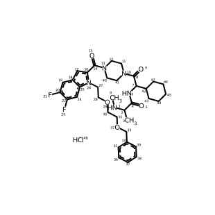 CNC(C)C(=O)NC(C(=O)N1CCN(C(=O)c2cc3cc(F)c(F)cc3n2CCOCCOCc2ccccc2)CC1)C1CCCCC1.Cl